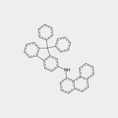 c1ccc(C2(c3ccccc3)c3ccccc3-c3ccc(Nc4cccc5ccc6ccccc6c45)cc32)cc1